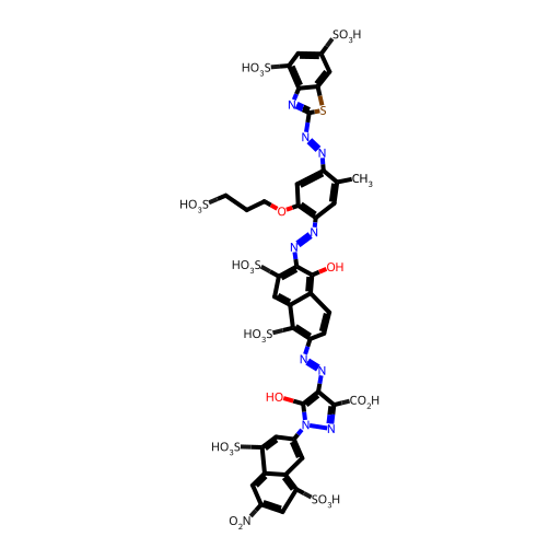 Cc1cc(N=Nc2c(S(=O)(=O)O)cc3c(S(=O)(=O)O)c(N=Nc4c(C(=O)O)nn(-c5cc(S(=O)(=O)O)c6cc([N+](=O)[O-])cc(S(=O)(=O)O)c6c5)c4O)ccc3c2O)c(OCCCS(=O)(=O)O)cc1N=Nc1nc2c(S(=O)(=O)O)cc(S(=O)(=O)O)cc2s1